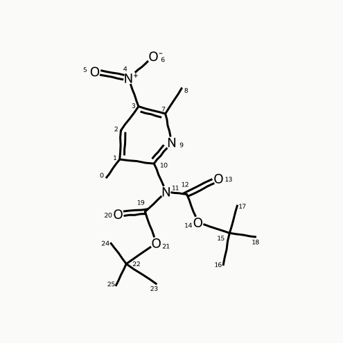 Cc1cc([N+](=O)[O-])c(C)nc1N(C(=O)OC(C)(C)C)C(=O)OC(C)(C)C